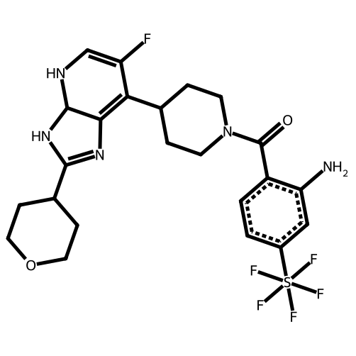 Nc1cc(S(F)(F)(F)(F)F)ccc1C(=O)N1CCC(C2=C3N=C(C4CCOCC4)NC3NC=C2F)CC1